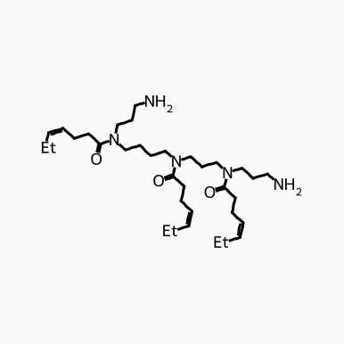 CC/C=C\CCC(=O)N(CCCN)CCCCN(CCCN(CCCN)C(=O)CC/C=C\CC)C(=O)CC/C=C\CC